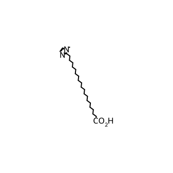 Cn1ccnc1CCCCCCCCCCCCCCCCCCCC(=O)O